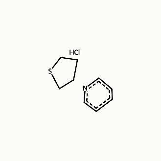 C1CCSC1.Cl.c1ccncc1